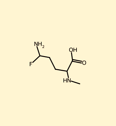 CNC(CCC(N)F)C(=O)O